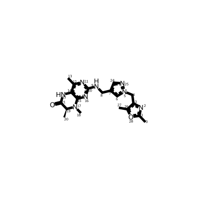 Cc1nc(Cn2cc(CNc3nc(C)c4c(n3)N(C)[C@@H](C)C(=O)N4)cn2)c(C)o1